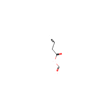 C=CCC(=O)O[C]=O